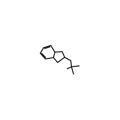 CC(C)(C)CC1CC2C=CC=CC2C1